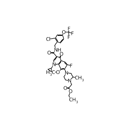 CCOC(=O)CN1CCN(c2c(F)cc3c(=O)c(C(=O)NCc4ccc(OC(F)(F)F)cc4Cl)cn(C4CC4)c3c2OC)CC1C